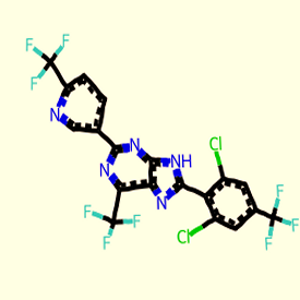 FC(F)(F)c1cc(Cl)c(-c2nc3c(C(F)(F)F)nc(-c4ccc(C(F)(F)F)nc4)nc3[nH]2)c(Cl)c1